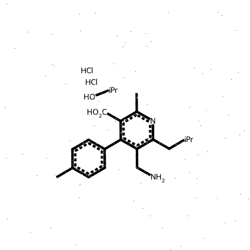 CC(C)O.Cc1ccc(-c2c(CN)c(CC(C)C)nc(C)c2C(=O)O)cc1.Cl.Cl